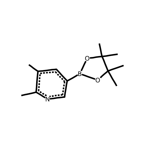 Cc1cc(B2OC(C)(C)C(C)(C)O2)cnc1C